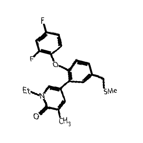 CCn1cc(-c2cc(CSC)ccc2Oc2ccc(F)cc2F)cc(C)c1=O